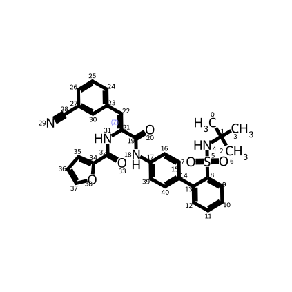 CC(C)(C)NS(=O)(=O)c1ccccc1-c1ccc(NC(=O)/C(=C/c2cccc(C#N)c2)NC(=O)c2ccco2)cc1